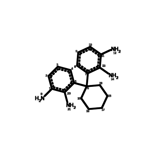 Nc1cccc(C2(c3cccc(N)c3N)CCCCC2)c1N